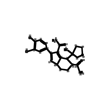 N#CC1(C2c3c(C(N)=O)c(-c4ccc(Cl)c(Cl)c4)nn3CCN2C(N)=O)CCOC1